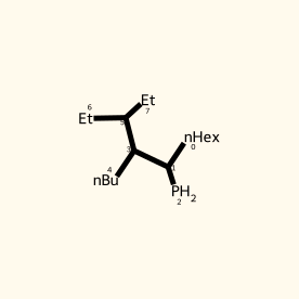 CCCCCCC(P)C(CCCC)C(CC)CC